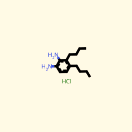 CCCCc1ccc(N)c(N)c1CCCC.Cl